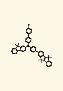 CC1(C)C2=C(c3ccccc31)C(C)(C)c1cc(-c3ccc(N(c4ccc(-c5ccc(F)cc5)cc4)c4ccc5c(c4)C(C)(C)c4ccccc4-5)cc3)ccc12